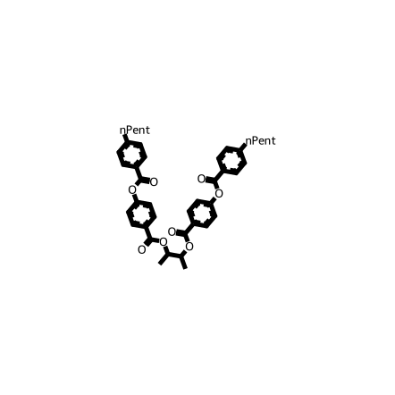 CCCCCc1ccc(C(=O)Oc2ccc(C(=O)OC(C)C(C)OC(=O)c3ccc(OC(=O)c4ccc(CCCCC)cc4)cc3)cc2)cc1